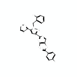 Nc1nc(-c2cc(-c3ccon3)n(Cc3ccccc3F)n2)ncc1NC(=O)c1ccc(F)cc1